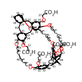 O=C(O)COc1cc2c3cc1OCCCCCOc1ccc4c(c1)Cc1cc(OCC(=O)O)c5cc1Cc1cc(OCC(=O)O)c(cc1C4)OCCCCCOc1cc(c(cc1OCC(=O)O)C3)Cc1cc(OCC(=O)O)c(cc1C2)OCCCCCO5